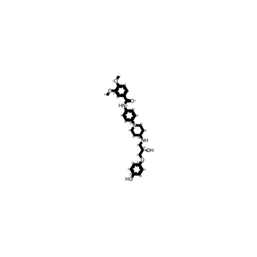 COc1ccc(C(=O)Nc2ccc(N3CCC(NC[C@H](O)COc4ccc(O)cc4)CC3)cc2)cc1OC